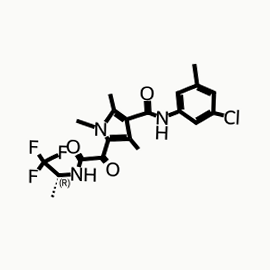 Cc1cc(Cl)cc(NC(=O)c2c(C)c(C(=O)C(=O)N[C@H](C)C(F)(F)F)n(C)c2C)c1